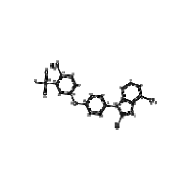 CCc1nc2c(C(F)(F)F)cccc2n1-c1ccc(Oc2ccc(N)c(S(C)(=O)=O)c2)cc1